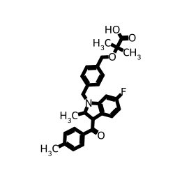 Cc1ccc(C(=O)C2c3ccc(F)cc3N(Cc3ccc(COC(C)(C)C(=O)O)cc3)C2C)cc1